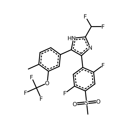 Cc1ccc(-c2[nH]c(C(F)F)nc2-c2cc(F)c(S(C)(=O)=O)cc2F)cc1OC(F)(F)F